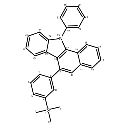 C[Si](C)(C)c1cccc(-c2cc3ccccc3c3c2c2ccccc2n3-c2ccccc2)c1